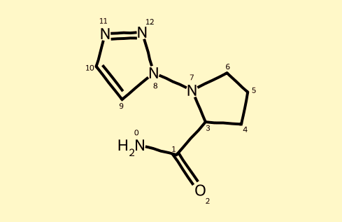 NC(=O)C1CCCN1n1ccnn1